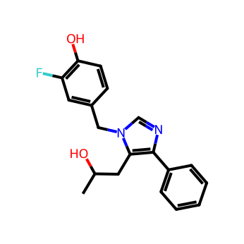 CC(O)Cc1c(-c2ccccc2)ncn1Cc1ccc(O)c(F)c1